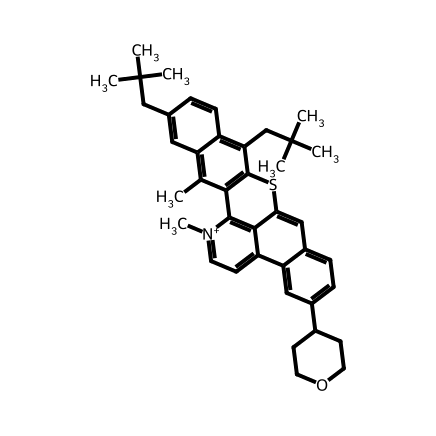 Cc1c2c(c(CC(C)(C)C)c3ccc(CC(C)(C)C)cc13)Sc1cc3ccc(C4CCOCC4)cc3c3cc[n+](C)c-2c13